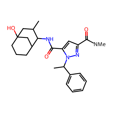 CNC(=O)c1cc(C(=O)NC2C(C)CC3(O)CCCC2C3)n(C(C)c2ccccc2)n1